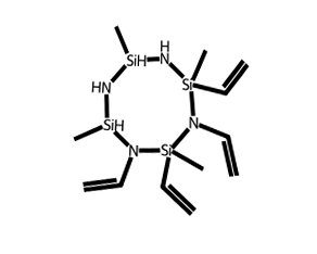 C=CN1[SiH](C)N[SiH](C)N[Si](C)(C=C)N(C=C)[Si]1(C)C=C